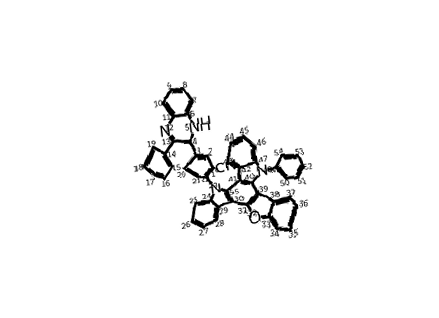 N#Cc1cc(C2Nc3ccccc3N=C2c2ccccc2)ccc1-n1c2ccccc2c2c3oc4ccccc4c3c3c(c4ccccc4n3-c3ccccc3)c21